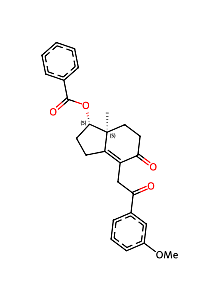 COc1cccc(C(=O)CC2=C3CC[C@H](OC(=O)c4ccccc4)[C@@]3(C)CCC2=O)c1